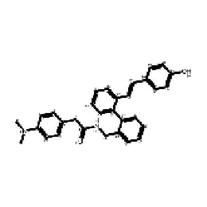 CN(C)c1ccc(CC(=O)NCc2ccccc2-c2ccccc2C=Cc2ccc(O)cc2)cc1